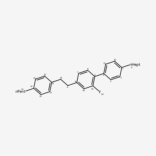 CCCCCCCc1ccc(-c2ccc(CCc3ccc(CCCCC)cc3)cc2F)cc1